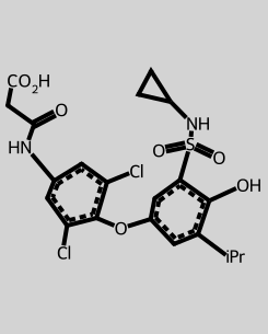 CC(C)c1cc(Oc2c(Cl)cc(NC(=O)CC(=O)O)cc2Cl)cc(S(=O)(=O)NC2CC2)c1O